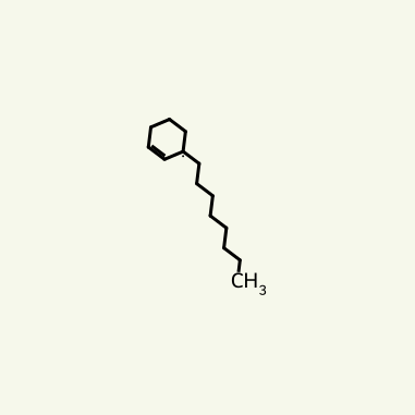 CCCCCCCC[C]1C=CCCC1